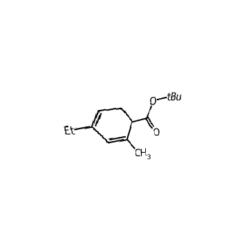 CCC1=CCC(C(=O)OC(C)(C)C)C(C)=C1